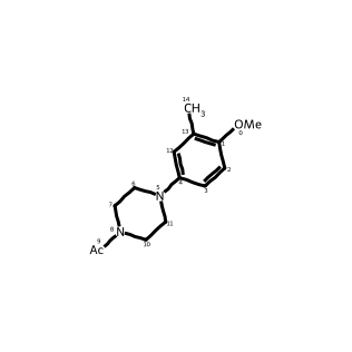 COc1ccc(N2CCN(C(C)=O)CC2)cc1C